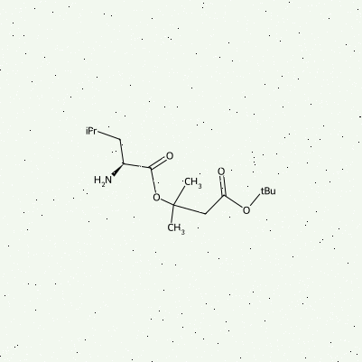 CC(C)C[C@H](N)C(=O)OC(C)(C)CC(=O)OC(C)(C)C